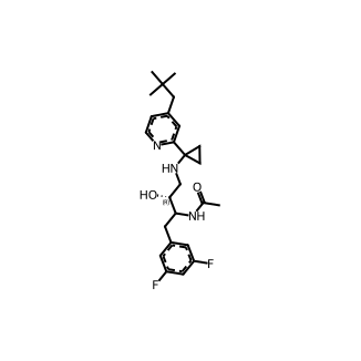 CC(=O)NC(Cc1cc(F)cc(F)c1)[C@H](O)CNC1(c2cc(CC(C)(C)C)ccn2)CC1